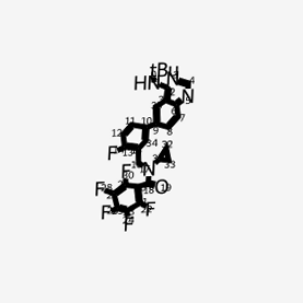 CC(C)(C)Nc1ncnc2ccc(-c3ccc(F)c(CN(C(=O)c4c(F)c(F)c(F)c(F)c4F)C4CC4)c3)cc12